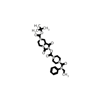 CCN(C(=O)N1CCN(C(=O)ON2C(=O)C3CN(C(=O)OC(C)(C)C)CCN3C2=O)CC1)c1ccccc1